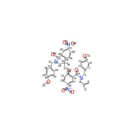 C=C(C)CN(Cc1ccc(OC)cc1)C(=O)c1cc([N+](=O)[O-])ccc1Br.COc1ccc(CN2CC(C)(C)c3ccc([N+](=O)[O-])cc3C2=O)cc1